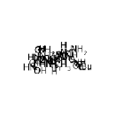 CC(C)C[C@H](NC(=O)CNC(=O)[C@H](CC(C)C)NC(=O)[C@H](CCC(N)=O)NC(=O)CNC(=O)[C@@H]1C[C@@H](O)CN1)C(=O)N[C@@H](C)C(=O)NCC(=O)N1CCCC1C(=O)N[C@@H](CCCCN)C(=O)NCCOCCNC(=O)OC(C)(C)C